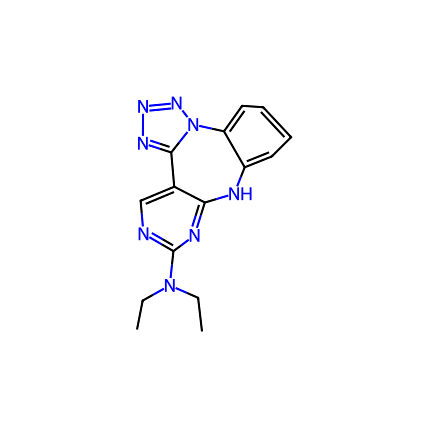 CCN(CC)c1ncc2c(n1)Nc1ccccc1-n1nnnc1-2